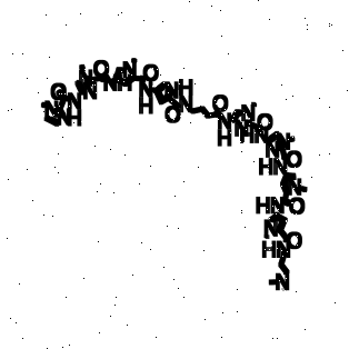 CN(C)CCCNC(=O)c1cc(NC(=O)c2cc(NC(=O)c3nc(NC(=O)c4nc(NC(=O)CCCNC(=O)c5cc(NC(=O)c6cc(NC(=O)c7nc(NC(=O)c8nccn8C)cn7C)cn6C)cn5C)cn4C)cn3C)cn2C)cn1C